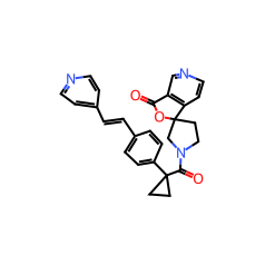 O=C1OC2(CCN(C(=O)C3(c4ccc(C=Cc5ccncc5)cc4)CC3)C2)c2ccncc21